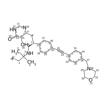 CC(C)(CF)NC[C@@H](Cc1nc[nH]c(=O)c1O)c1ccc(C#Cc2ccc(CN3CCOCC3)cc2)cc1